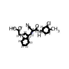 Cc1ccc(NC(=O)/C(C#N)=C/c2cn(CC(=O)O)c3ccccc23)cc1Cl